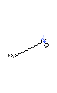 Cc1[nH]cc(CCCCCCCCCCCCCCCC(=O)O)[n+]1-c1ccccc1